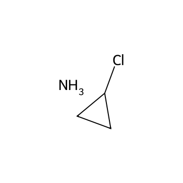 ClC1CC1.N